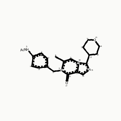 CC(=O)Nc1ccc(Cn2c(C)cn3c(C4CCOCC4)ncc3c2=O)cc1